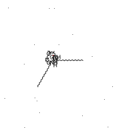 CCCCCCCCCCCCCCCCCC(=O)NCC(NC(=O)CCCCCCCCCCCCCCCCC)C(=O)NC(C)(C)CC(C)(C)C[C@](C)(CC)OCCC(C)(C)OC